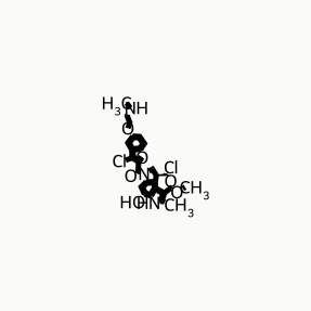 CNCCOc1ccc2oc(C(=O)N3C[C@@H](CCl)c4c3cc(O)c3[nH]c(C)c(C(=O)OC)c43)c(Cl)c2c1